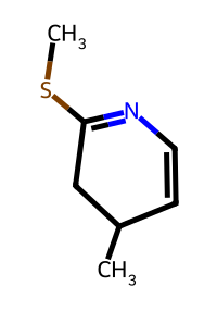 CSC1=NC=CC(C)C1